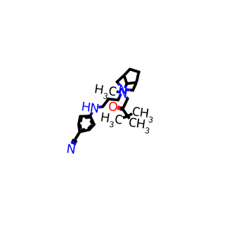 CN(CC(=O)C(C)(C)C)C1C2CCC1CN(CCCNc1ccc(C#N)cc1)C2